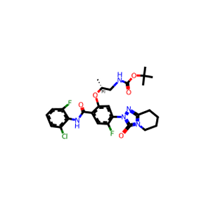 C[C@H](CNC(=O)OC(C)(C)C)Oc1cc(-n2nc3n(c2=O)CCCC3)c(F)cc1C(=O)Nc1c(F)cccc1Cl